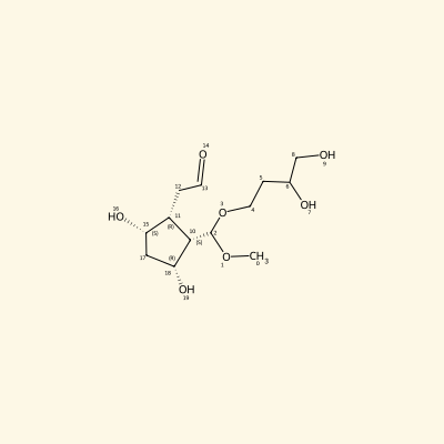 COC(OCCC(O)CO)[C@H]1[C@@H](CC=O)[C@@H](O)C[C@H]1O